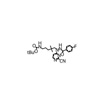 CC(C)(CCCNC(=O)OC(C)(C)C)CN(NC(=O)c1ccc(F)cc1)c1ccnc(C#N)n1